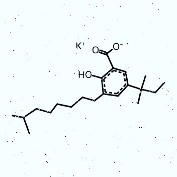 CCC(C)(C)c1cc(CCCCCCC(C)C)c(O)c(C(=O)[O-])c1.[K+]